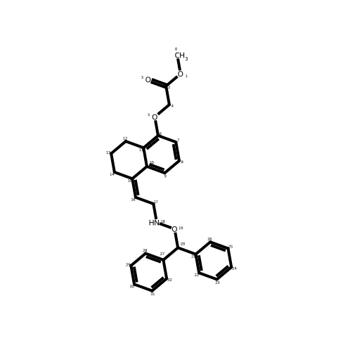 COC(=O)COc1cccc2c1CCC/C2=C/CNOC(c1ccccc1)c1ccccc1